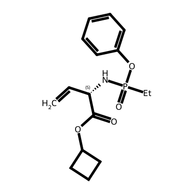 C=C[C@H](NP(=O)(CC)Oc1ccccc1)C(=O)OC1CCC1